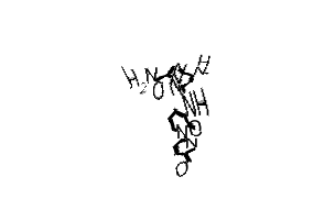 CNc1cc(Nc2cccn(-c3ccc(C=O)cn3)c2=O)nn2c(C(N)=O)cnc12